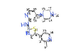 Cc1cc(-c2cnc(Nc3cc(N4CCN(C)CC4)ccn3)s2)ccn1